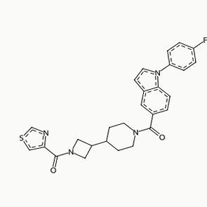 O=C(c1ccc2c(ccn2-c2ccc(F)cc2)c1)N1CCC(C2CN(C(=O)c3cscn3)C2)CC1